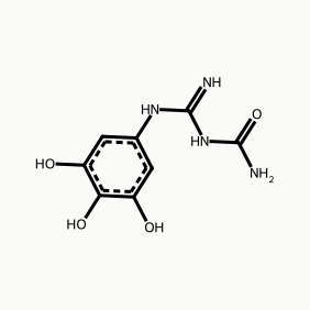 N=C(NC(N)=O)Nc1cc(O)c(O)c(O)c1